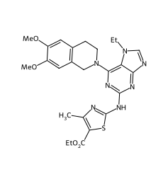 CCOC(=O)c1sc(Nc2nc(N3CCc4cc(OC)c(OC)cc4C3)c3c(ncn3CC)n2)nc1C